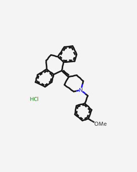 COc1cccc(CN2CCC(=C3c4ccccc4CCc4ccccc43)CC2)c1.Cl